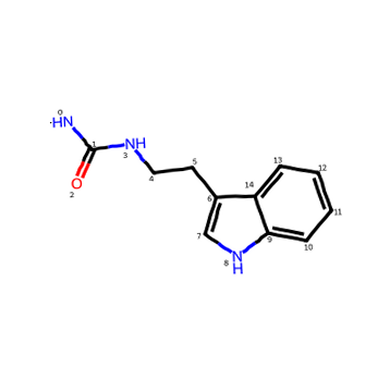 [NH]C(=O)NCCc1c[nH]c2ccccc12